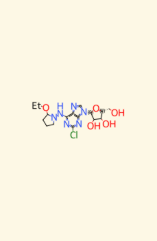 CCOC1CCCN1Nc1nc(Cl)nc2c1ncn2[C@@H]1O[C@H](CO)C(O)C1O